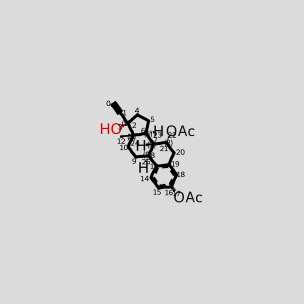 C#C[C@]1(O)CC[C@H]2[C@H]3[C@H](CC[C@@]21C)c1ccc(OC(C)=O)cc1C[C@H]3OC(C)=O